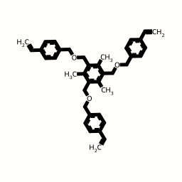 C=Cc1ccc(COCc2c(C)c(COCc3ccc(C=C)cc3)c(C)c(COCc3ccc(C=C)cc3)c2C)cc1